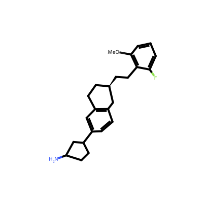 COc1cccc(F)c1CC[C@@H]1CCc2cc(C3CCC(N)C3)ccc2C1